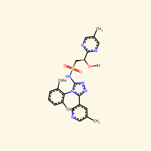 CCO[C@@H](CS(=O)(=O)Nc1nnc(-c2cncc(C)c2)n1-c1c(OC)cccc1OC)c1ncc(C)cn1